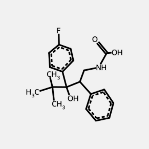 CC(C)(C)C(O)(c1ccc(F)cc1)C(CNC(=O)O)c1ccccc1